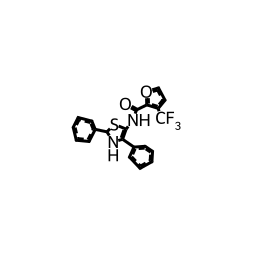 O=C(NC1=C(c2ccccc2)NC(c2ccccc2)S1)c1occc1C(F)(F)F